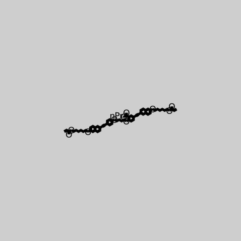 C=CC(=O)OCCCCCCOc1ccc2cc(C#Cc3ccc(OCCCCOc4ccc(C#Cc5ccc6cc(OCCCCCCOC(=O)C=C)ccc6c5)cc4C(=O)OCCC)cc3)ccc2c1